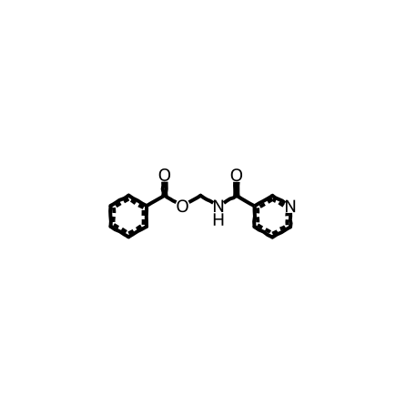 O=C(NCOC(=O)c1ccccc1)c1cccnc1